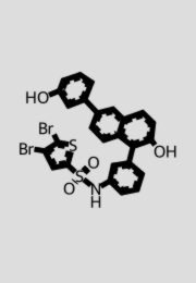 O=S(=O)(Nc1cccc(-c2c(O)ccc3cc(-c4cccc(O)c4)ccc23)c1)c1cc(Br)c(Br)s1